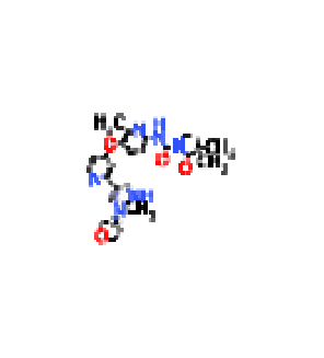 Cc1nc(NC(=O)N2CCC(C)(C)C2=O)ccc1Oc1ccnc(/C(C=N)=C/N(C)[C@H]2CCOC2)c1